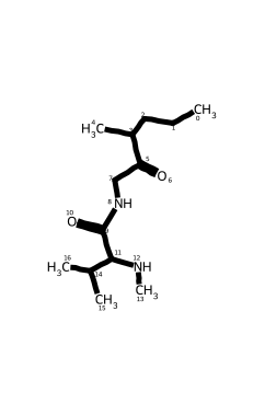 CCCC(C)C(=O)CNC(=O)C(NC)C(C)C